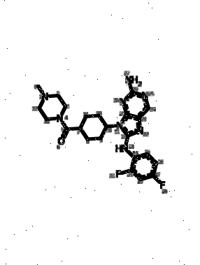 CN1CCN(C(=O)C2CCC(n3c(Nc4ccc(F)cc4F)nc4cnc(N)nc43)CC2)CC1